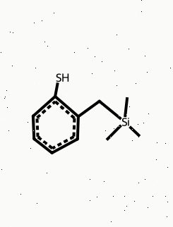 C[Si](C)(C)Cc1ccccc1S